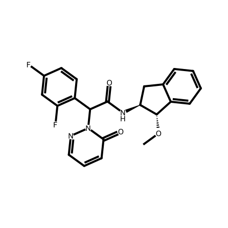 CO[C@H]1c2ccccc2C[C@@H]1NC(=O)C(c1ccc(F)cc1F)n1ncccc1=O